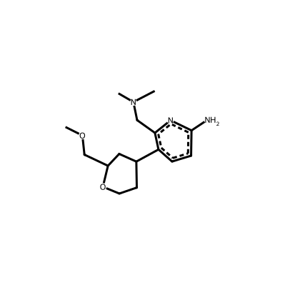 COCC1CC(c2ccc(N)nc2CN(C)C)CCO1